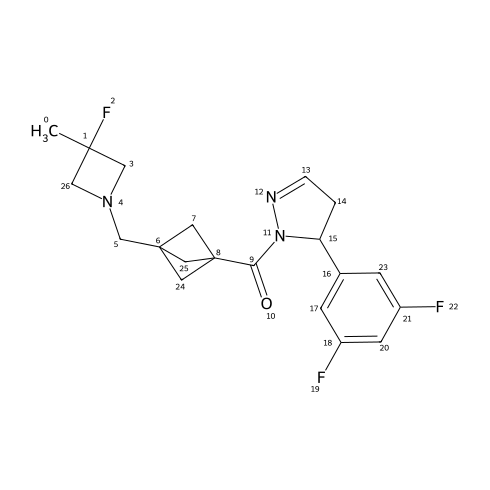 CC1(F)CN(CC23CC(C(=O)N4N=CCC4c4cc(F)cc(F)c4)(C2)C3)C1